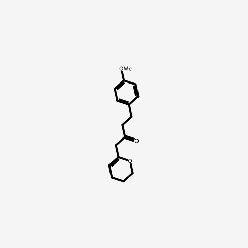 COc1ccc(CCC(=O)CC2=CCCCO2)cc1